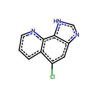 Clc1cc2nc[nH]c2c2ncccc12